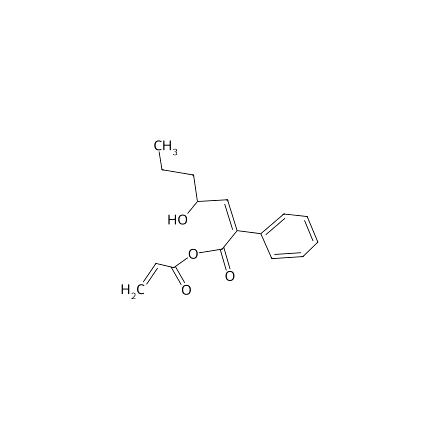 C=CC(=O)OC(=O)C(=CC(O)CCC)c1ccccc1